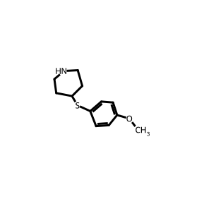 COc1ccc(SC2CCNCC2)cc1